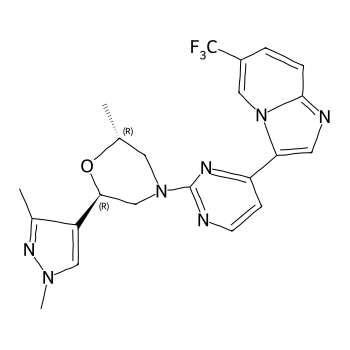 Cc1nn(C)cc1[C@@H]1CN(c2nccc(-c3cnc4ccc(C(F)(F)F)cn34)n2)C[C@@H](C)O1